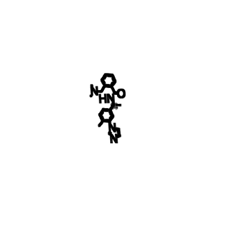 Cc1ccc([C@H](C)NC(=O)c2ccccc2CN(C)C)cc1-n1ccnc1